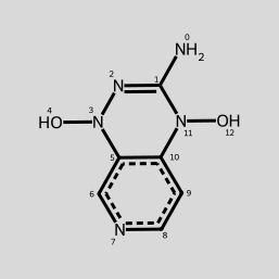 NC1=NN(O)c2cnccc2N1O